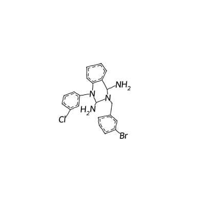 NC1c2ccccc2N(c2cccc(Cl)c2)C(N)N1Cc1cccc(Br)c1